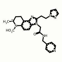 C[C@H]1CCc2c(ccc3c2nc(CCn2cccn2)n3CC(=O)NCc2ccncc2)N1C(=O)O